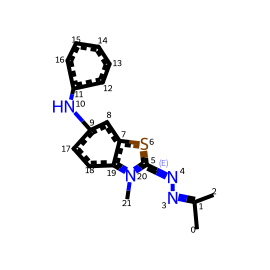 CC(C)=N/N=c1/sc2cc(Nc3ccccc3)ccc2n1C